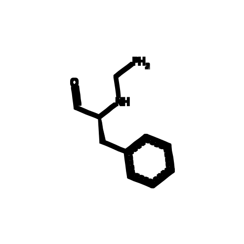 O=C[C@H](Cc1ccccc1)NCP